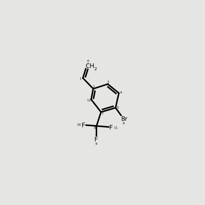 C=Cc1ccc(Br)c(C(F)(F)F)c1